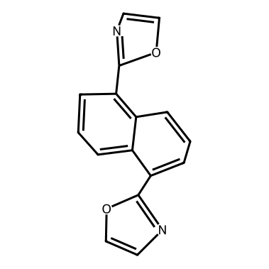 c1cc(-c2ncco2)c2cccc(-c3ncco3)c2c1